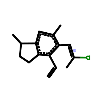 C=Cc1c(/C=C(\C)Cl)c(C)cc2c1CCC2C